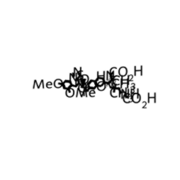 COc1ccc(CN(c2ncns2)S(=O)(=O)c2cc3c(cc2F)OC([C@H](CC(C)(C)CCNC(=O)O)[C@@H](C)NC(=O)O)CC3)c(OC)c1